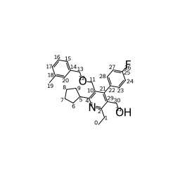 CCc1nc(C2CCCC2)c(COCc2cccc(C)c2)c(-c2ccc(F)cc2)c1CO